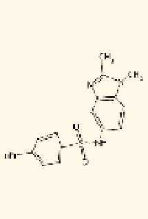 CCCc1ccc(S(=O)(=O)Nc2ccc3c(c2)nc(C)n3C)cc1